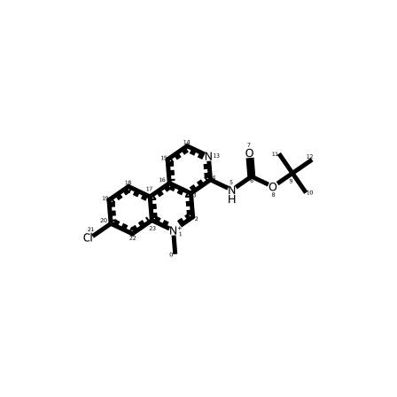 C[n+]1cc2c(NC(=O)OC(C)(C)C)nccc2c2ccc(Cl)cc21